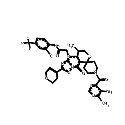 Cc1ncnc(C(=O)N2CCC3(CC2)OCC(C)c2c3c(=O)n3nc(C4=CCOCC4)nc3n2CC(=O)Nc2ccc(C(F)(F)F)cc2Cl)c1O